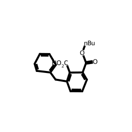 CCCCOC(=O)c1cccc(Cc2ccccc2)c1C(=O)O